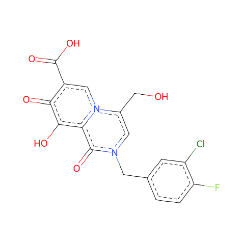 O=C(O)c1cn2c(CO)cn(Cc3ccc(F)c(Cl)c3)c(=O)c2c(O)c1=O